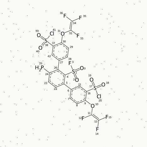 O=S(=O)(F)c1c(-c2ccc(OC(F)=C(F)F)c(S(=O)(=O)Cl)c2)ccc(P)c1-c1ccc(OC(F)=C(F)F)c(S(=O)(=O)Cl)c1